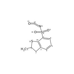 CC1Cc2cccc(S(=O)(=O)N=C=O)c2S1